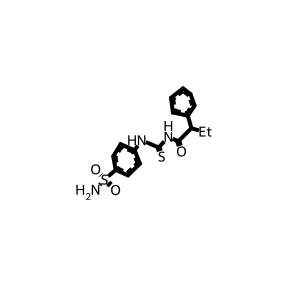 CCC(C(=O)NC(=S)Nc1ccc(S(N)(=O)=O)cc1)c1ccccc1